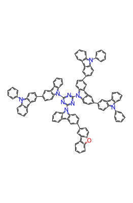 c1ccc(-n2c3ccccc3c3cc(-c4ccc5c(c4)c4ccccc4n5-c4nc(-n5c6ccccc6c6cc(-c7ccc8oc9ccccc9c8c7)ccc65)nc(-n5c6ccc(-c7ccc8c(c7)c7ccccc7n8-c7ccccc7)cc6c6cc(-c7ccc8c(c7)c7ccccc7n8-c7ccccc7)ccc65)n4)ccc32)cc1